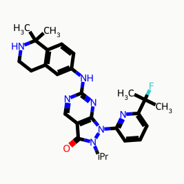 CC(C)n1c(=O)c2cnc(Nc3ccc4c(c3)CCNC4(C)C)nc2n1-c1cccc(C(C)(C)F)n1